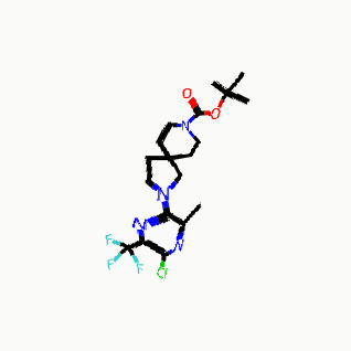 Cc1nc(Cl)c(C(F)(F)F)nc1N1CCC2(CCN(C(=O)OC(C)(C)C)CC2)C1